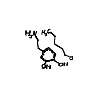 CCCCCCl.NCCc1ccc(O)c(O)c1